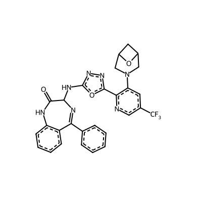 O=C1Nc2ccccc2C(c2ccccc2)=NC1Nc1nnc(-c2ncc(C(F)(F)F)cc2N2CC3CC(C2)O3)o1